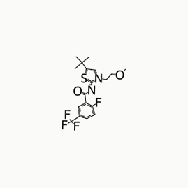 COCCn1cc(C(C)(C)C)sc1=NC(=O)c1cc(C(F)(F)F)ccc1F